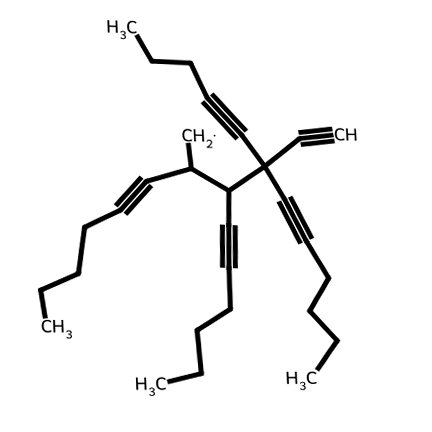 C#CC(C#CCCC)(C#CCCCC)C(C#CCCCC)C([CH2])C#CCCCC